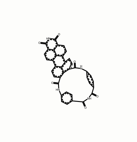 O=C1NC(=O)c2ccc(cc2)NC(=O)c2ccc3c4ccc5c(=O)[nH]c(=O)c6ccc(c7ccc(c2c73)C(=O)Nc2ccc1cc2)c4c65